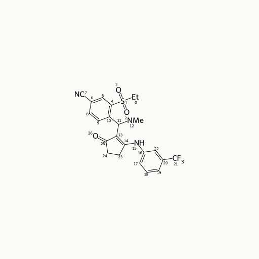 CCS(=O)(=O)c1cc(C#N)ccc1C(NC)C1=C(Nc2cccc(C(F)(F)F)c2)CCC1=O